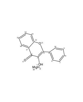 O=c1c(O)c(-c2ccccc2)oc2ccccc12.[MgH2]